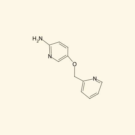 Nc1ccc(OCc2ccccn2)cn1